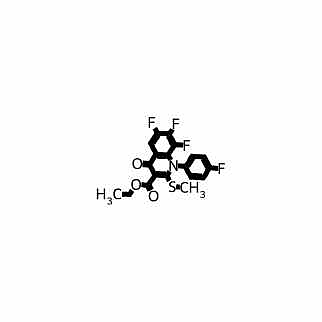 CCOC(=O)c1c(SC)n(-c2ccc(F)cc2)c2c(F)c(F)c(F)cc2c1=O